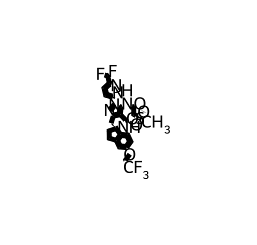 CS(=O)(=O)CC(=O)Nc1c2c(nn1-c1ccc(C(F)F)nn1)C[C@]1(CCc3cc(OCC(F)(F)F)ccc31)NC2=O